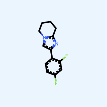 Fc1ccc(-c2cn3c(n2)CCCC3)c(F)c1